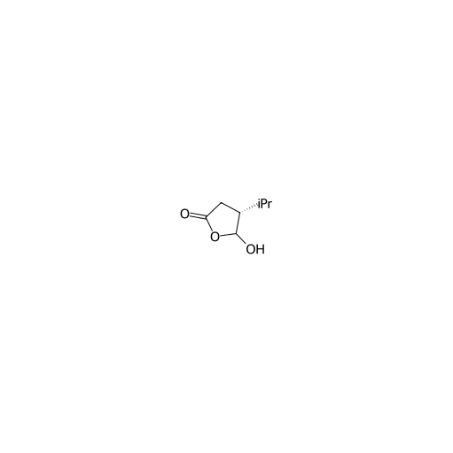 CC(C)[C@H]1CC(=O)OC1O